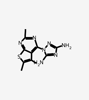 Cc1nc(-n2nc(N)nc2N)c2c(C)c(C)sc2n1